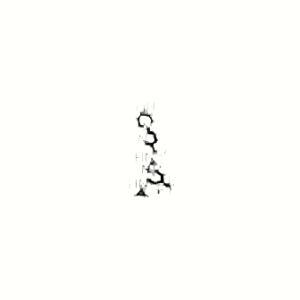 O=C(Nc1nc2cc(C(F)(F)F)cc(NC3CC3)n2n1)c1ccc(N2CCC(O)CC2)nc1